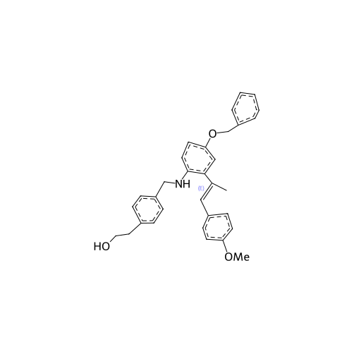 COc1ccc(/C=C(\C)c2cc(OCc3ccccc3)ccc2NCc2ccc(CCO)cc2)cc1